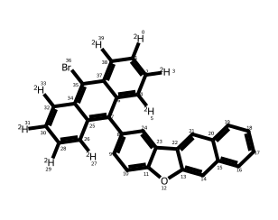 [2H]c1c([2H])c([2H])c2c(-c3ccc4oc5cc6ccccc6cc5c4c3)c3c([2H])c([2H])c([2H])c([2H])c3c(Br)c2c1[2H]